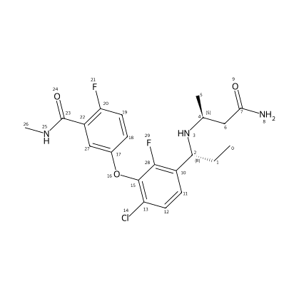 CC[C@@H](N[C@@H](C)CC(N)=O)c1ccc(Cl)c(Oc2ccc(F)c(C(=O)NC)c2)c1F